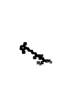 CC(C)/C=N/NC(=O)CCCCCN1C(=O)C=CC1=O